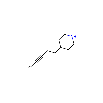 CC(C)C#CCCC1CCNCC1